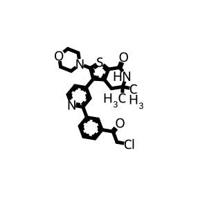 CC1(C)Cc2c(sc(N3CCOCC3)c2-c2ccnc(-c3cccc(C(=O)CCl)c3)c2)C(=O)N1